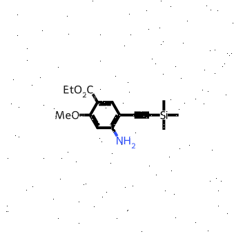 CCOC(=O)c1cc(C#C[Si](C)(C)C)c(N)cc1OC